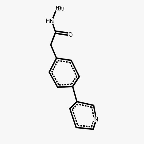 CC(C)(C)NC(=O)Cc1ccc(-c2cccnc2)cc1